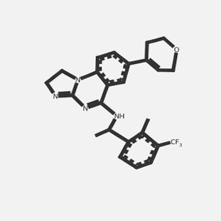 Cc1c(C(C)NC2=NC3=NCCN3c3ccc(C4=CCOCC4)cc32)cccc1C(F)(F)F